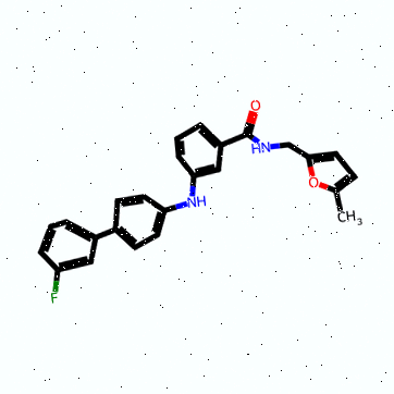 Cc1ccc(CNC(=O)c2cccc(Nc3ccc(-c4cccc(F)c4)cc3)c2)o1